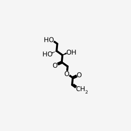 C=CC(=O)OCC(=O)[C@H](O)[C@H](O)CO